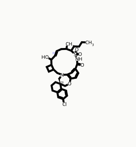 CCCCC1C(C)C/C=C/C(O)C2CCC2CN2C[C@@]3(CCCc4cc(Cl)ccc43)COc3ccc(cc32)C(=O)NS1(=O)=O